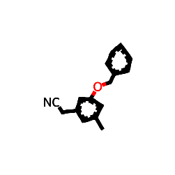 Cc1cc(CC#N)cc(OCc2ccccc2)c1